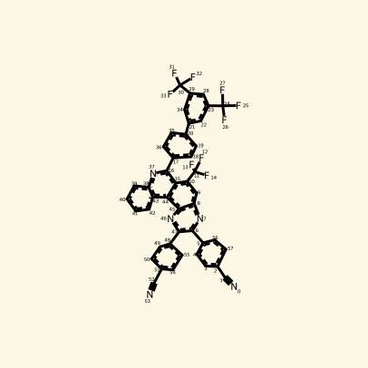 N#Cc1ccc(-c2nc3cc(C(F)(F)F)c4c(-c5ccc(-c6cc(C(F)(F)F)cc(C(F)(F)F)c6)cc5)nc5ccccc5c4c3nc2-c2ccc(C#N)cc2)cc1